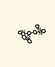 c1ccc(-n2c(-c3ccc(-c4ccc(-c5nc6ccccc6c6ccc7c8ccccc8oc7c56)cc4)cc3)nc3ccccc32)cc1